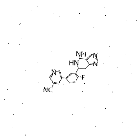 N#Cc1cncc(-c2ccc(F)c(C3Cc4ncncc4C(=N)N3)c2)c1